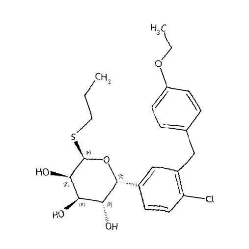 CCCS[C@H]1O[C@H](c2ccc(Cl)c(Cc3ccc(OCC)cc3)c2)[C@H](O)[C@@H](O)[C@H]1O